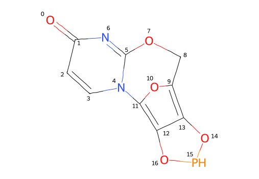 O=c1ccn2c(n1)OCc1oc-2c2c1OPO2